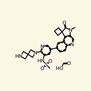 CN1C(=O)C2(CCC2)c2c1cnc1ccc(-c3cnc(N4CC5(CNC5)C4)c(NS(C)(=O)=O)c3)cc21.O=CO